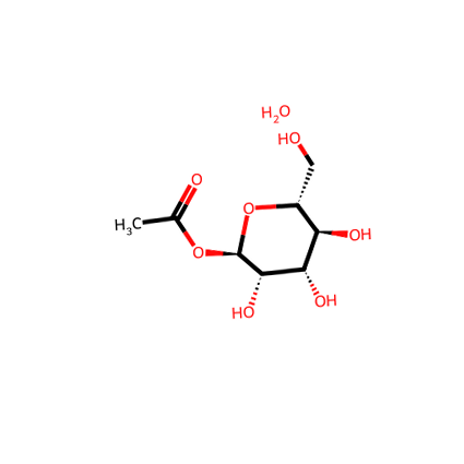 CC(=O)O[C@H]1O[C@H](CO)[C@@H](O)[C@H](O)[C@@H]1O.O